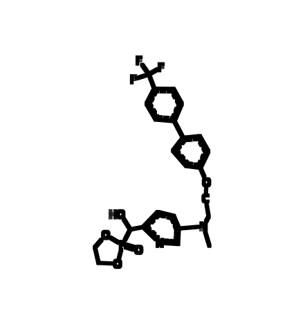 CN(CCOc1ccc(-c2ccc(C(F)(F)F)cc2)cc1)c1ccc(C(O)P2(=O)OCCO2)nc1